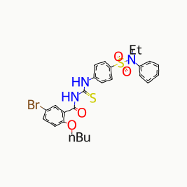 CCCCOc1ccc(Br)cc1C(=O)NC(=S)Nc1ccc(S(=O)(=O)N(CC)c2ccccc2)cc1